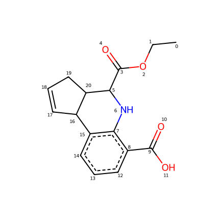 CCOC(=O)C1Nc2c(C(=O)O)cccc2C2C=CCC12